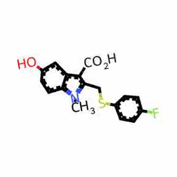 Cn1c(CSc2ccc(F)cc2)c(C(=O)O)c2cc(O)ccc21